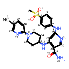 CS(=O)(=O)c1ccc(Nc2cc(NC3CCN(c4ccc(C#N)cn4)CC3)c(C(N)=O)cn2)cc1